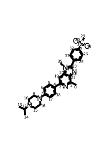 Cc1nc(-c2ccc(N3CCN(C(C)C)CC3)cc2)cc2c1nc(-c1ccc(S(C)(=O)=O)cc1)n2C